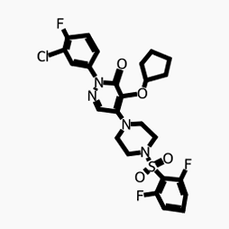 O=c1c(OC2CCCC2)c(N2CCN(S(=O)(=O)c3c(F)cccc3F)CC2)cnn1-c1ccc(F)c(Cl)c1